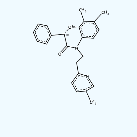 CC(=O)O[C@H](C(=O)N(CCc1ccc(C(F)(F)F)cn1)c1ccc(C)c(C)c1)c1ccccc1